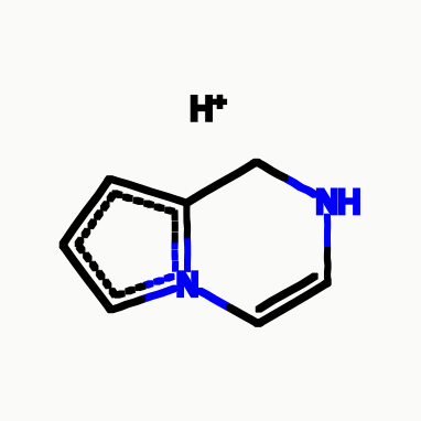 C1=Cn2cccc2CN1.[H+]